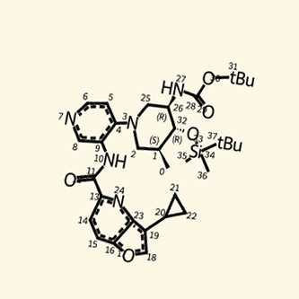 C[C@H]1CN(c2ccncc2NC(=O)c2ccc3occ(C4CC4)c3n2)C[C@@H](NC(=O)OC(C)(C)C)[C@@H]1O[Si](C)(C)C(C)(C)C